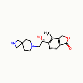 Cc1c([C@@H](O)CN2CCC3(CC2)CNC3)ccc2c1COC2=O